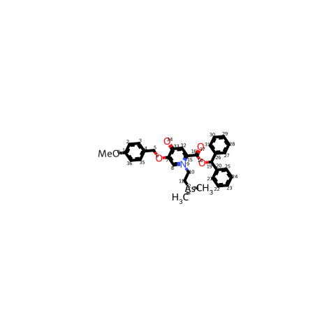 COc1ccc(COc2cn(CC[As](C)C)c(C(=O)OC(c3ccccc3)c3ccccc3)cc2=O)cc1